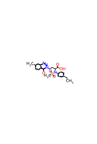 CCc1ccc(N(C(CCn2nnc3cc(C)ccc3c2=O)C(=O)O)S(C)(=O)=O)cc1